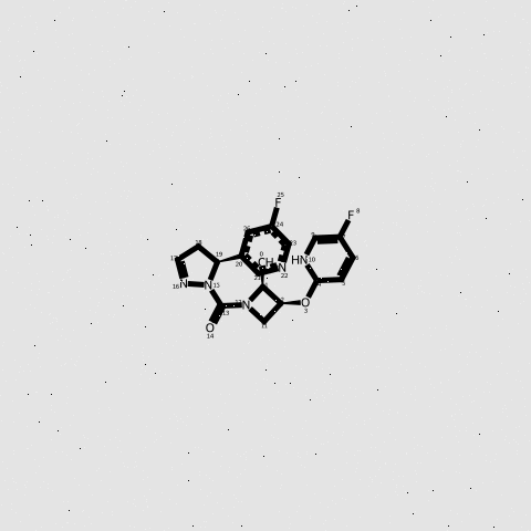 C[C@H]1[C@@H](OC2C=CC(F)=CN2)CN1C(=O)N1N=CC[C@H]1c1cncc(F)c1